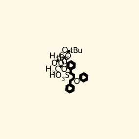 CC(OC(=O)C(C)(C)C)Oc1cccc(C(CC(Cc2ccccc2)Oc2ccccc2)S(=O)(=O)O)c1OC(C)OC(=O)C(C)(C)C